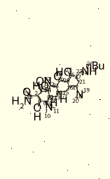 C=C1C(C(N)=O)=C(O)[C@H](N(C)C)[C@@H]2C[C@@H]3Cc4c(N(C)C)cc(CNCCCC)c(O)c4C(=O)C3=C(N=O)[C@]12O